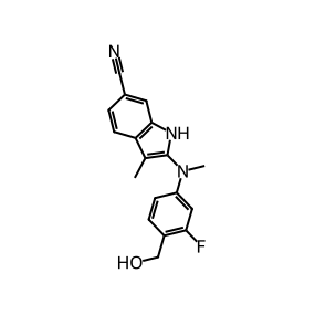 Cc1c(N(C)c2ccc(CO)c(F)c2)[nH]c2cc(C#N)ccc12